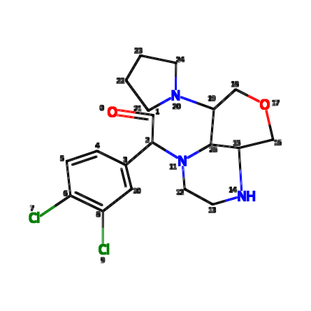 O=CC(c1ccc(Cl)c(Cl)c1)N1CCNC2COCC(N3CCCC3)C21